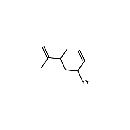 C=CC(CCC)CC(C)C(=C)C